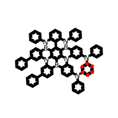 c1ccc(-c2ccc3c(c2)N2c4cc(-c5ccccc5)ccc4B4c5c6c7c8c(c52)B3c2ccc(N(c3ccccc3)c3ccccc3)cc2N8c2cc(N(c3ccccc3)c3ccccc3)ccc2B7N(c2ccccc2)c2cccc(c2-6)N4c2ccccc2)cc1